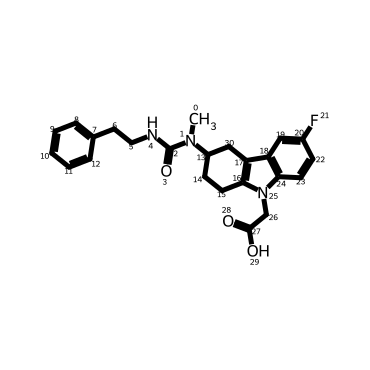 CN(C(=O)NCCc1ccccc1)C1CCc2c(c3cc(F)ccc3n2CC(=O)O)C1